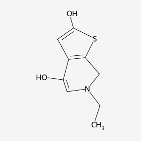 CCN1C=C(O)c2cc(O)sc2C1